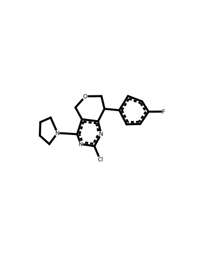 Fc1ccc(C2COCc3c2nc(Cl)nc3N2CCCC2)cc1